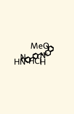 COc1cccc2c1C[C@H](NCc1ccc(-c3ccc4[nH]cnc4c3)cc1)CC2.Cl